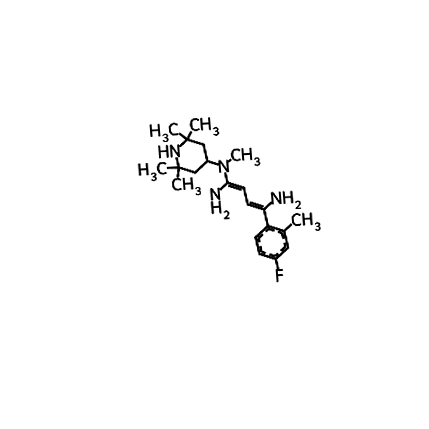 Cc1cc(F)ccc1/C(N)=C/C=C(\N)N(C)C1CC(C)(C)NC(C)(C)C1